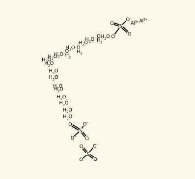 O.O.O.O.O.O.O.O.O.O.O.O.O.O.O.O.O.O.O.O=S(=O)([O-])[O-].O=S(=O)([O-])[O-].O=S(=O)([O-])[O-].[Al+3].[Al+3]